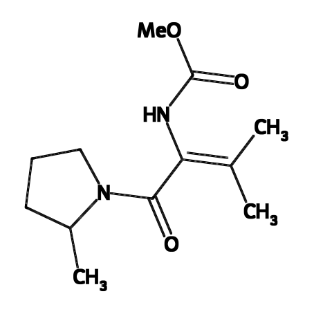 COC(=O)NC(C(=O)N1CCCC1C)=C(C)C